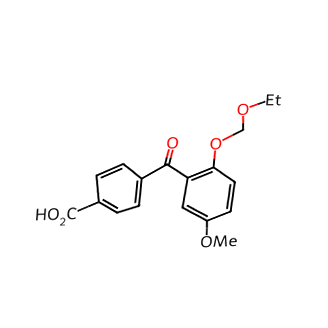 CCOCOc1ccc(OC)cc1C(=O)c1ccc(C(=O)O)cc1